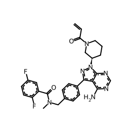 C=CC(=O)N1CCC[C@@H](n2nc(-c3ccc(CN(C)C(=O)c4cc(F)ccc4F)cc3)c3c(N)ncnc32)C1